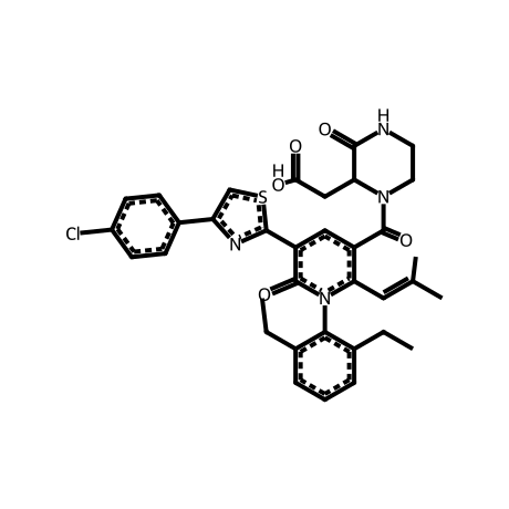 CCc1cccc(CC)c1-n1c(C=C(C)C)c(C(=O)N2CCNC(=O)C2CC(=O)O)cc(-c2nc(-c3ccc(Cl)cc3)cs2)c1=O